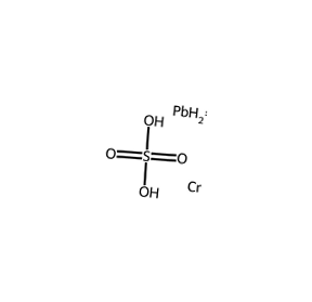 O=S(=O)(O)O.[Cr].[PbH2]